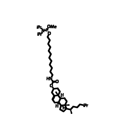 COP(OCCCCCCCCCCCCNC(=O)O[C@H]1CC[C@@]2(C)C(=CC[C@H]3[C@@H]4CC[C@H]([C@H](C)CCCC(C)C)[C@@]4(C)CC[C@@H]32)C1)N(C(C)C)C(C)C